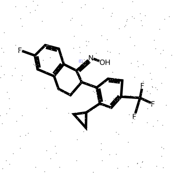 O/N=C1/c2ccc(F)cc2CCC1c1ccc(C(F)(F)F)cc1C1CC1